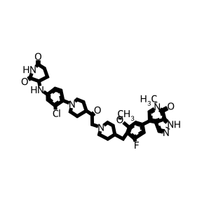 COc1cc(-c2cn(C)c(=O)c3[nH]ncc23)cc(F)c1CC1CCN(CC(=O)C2CCN(c3ccc(NC4CCC(=O)NC4=O)cc3Cl)CC2)CC1